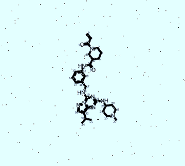 C=CC(=O)N1CCCC(C(=O)Nc2cccc(CNc3nc(NC4CCN(C)CC4)nc4c(C(C)C)cnn34)c2)C1